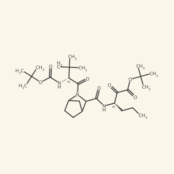 CCC[C@@H](NC(=O)C1C2CCC(C2)N1C(=O)[C@H](NC(=O)OC(C)(C)C)C(C)(C)C)C(=O)C(=O)OC(C)(C)C